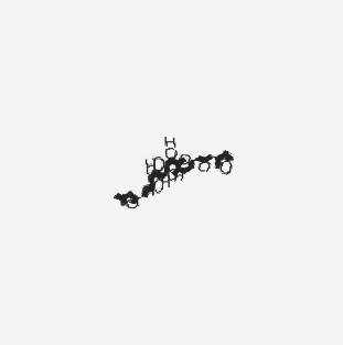 C=C1CO[C@@H](CC[C@]2(C)C[C@H]3OC4C(O[C@H]5CC[C@H](CC(=O)C[C@@H]6CCOC6)OC5[C@@H]4O)[C@H]3O2)C1